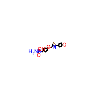 COc1ccc(-c2nc(COc3ccc(CN(O)C(N)=O)cc3)cs2)cc1